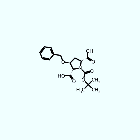 CC(C)(C)OC(=O)N1[C@@H](C(=O)O)C[C@H](OCc2ccccc2)[C@H]1C(=O)O